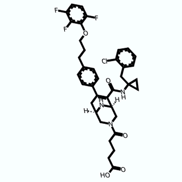 O=C(O)CCCC(=O)N1C[C@H]2CC(c3ccc(CCCOc4c(F)ccc(F)c4F)cc3)=C(C(=O)NC3(Cc4ccccc4Cl)CC3)[C@@H](C1)N2